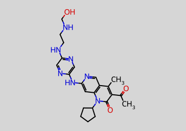 CC(=O)c1c(C)c2cnc(Nc3cnc(NCCNCO)cn3)cc2n(C2CCCC2)c1=O